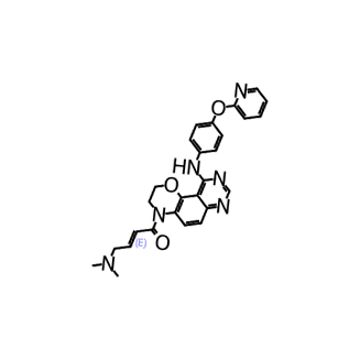 CN(C)C/C=C/C(=O)N1CCOc2c1ccc1ncnc(Nc3ccc(Oc4ccccn4)cc3)c21